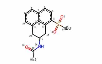 CCCCS(=O)(=O)c1ccc2cccc3c2c1CC(NC(=O)CC)C3